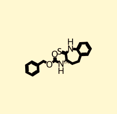 O=C(N[C@H]1CCc2ccccc2NC1=S)OCc1ccccc1